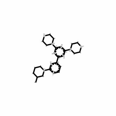 CC1CCCN(c2nccc(-c3nc(N4CCOCC4)nc(N4CCOCC4)n3)n2)C1